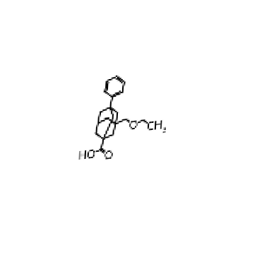 CCOCC12CC3CC(C(=O)O)(C1)CC(c1ccccc1)(C3)C2